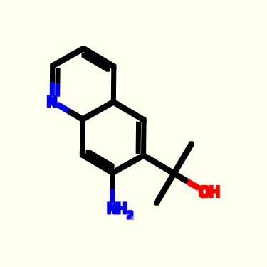 CC(C)(O)C1=CC2C=CC=NC2C=C1N